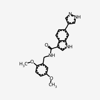 COc1ccc(OC)c(CNC(=O)c2c[nH]c3cc(-c4cn[nH]c4)ccc23)c1